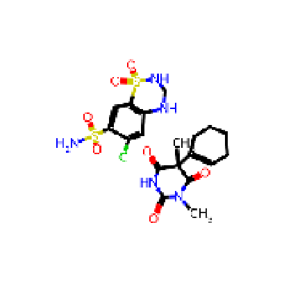 CN1C(=O)NC(=O)C(C)(C2=CCCCC2)C1=O.NS(=O)(=O)c1cc2c(cc1Cl)NCNS2(=O)=O